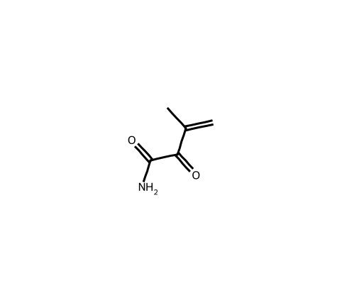 C=C(C)C(=O)C(N)=O